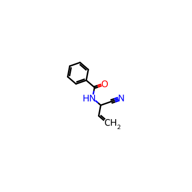 C=CC(C#N)NC(=O)c1ccccc1